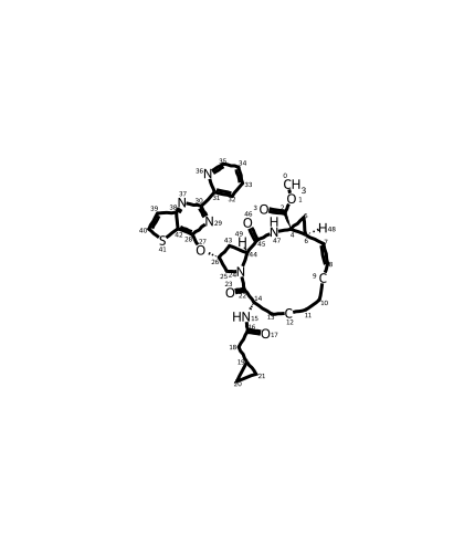 COC(=O)[C@@]12C[C@H]1/C=C\CCCCC[C@H](NC(=O)CC1CC1)C(=O)N1C[C@H](Oc3nc(-c4ccccn4)nc4ccsc34)C[C@H]1C(=O)N2